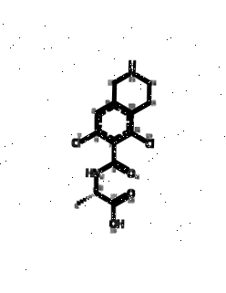 C[C@H](NC(=O)c1c(Cl)cc2c(c1Cl)CCNC2)C(=O)O